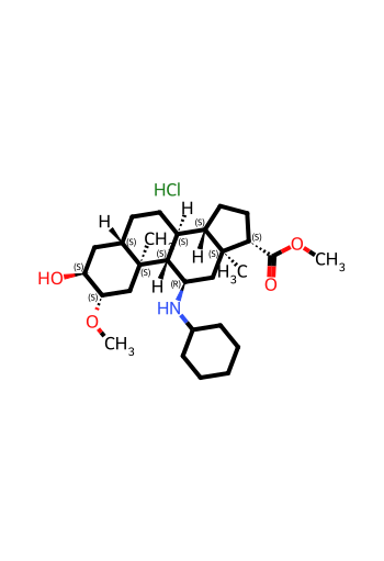 COC(=O)[C@H]1CC[C@H]2[C@@H]3CC[C@H]4C[C@H](O)[C@@H](OC)C[C@]4(C)[C@H]3[C@H](NC3CCCCC3)C[C@]12C.Cl